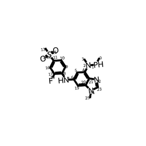 CPN(C)c1cc(Nc2ccc(S(C)(=O)=O)cc2F)cc2c1ncn2C